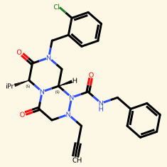 C#CCN1CC(=O)N2[C@@H](C(C)C)C(=O)N(Cc3ccccc3Cl)C[C@@H]2N1C(=O)NCc1ccccc1